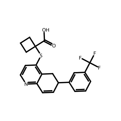 O=C(O)C1(Sc2ccnc3c2CC(c2cccc(C(F)(F)F)c2)C=C3)CCC1